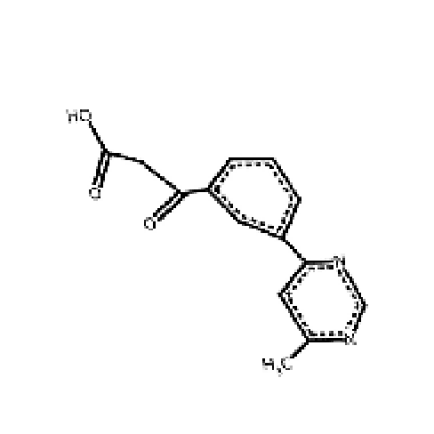 Cc1cc(-c2cccc(C(=O)CC(=O)O)c2)ncn1